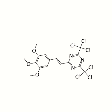 COc1cc(C=Cc2nc(C(Cl)(Cl)Cl)nc(C(Cl)(Cl)Cl)n2)cc(OC)c1OC